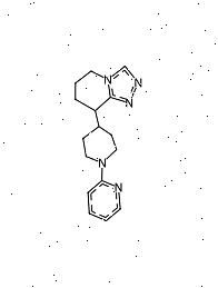 c1ccc(N2CCC(C3CCCn4cnnc43)CC2)nc1